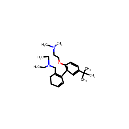 CCN(CC)CC1=C(c2cc(C(C)(C)C)ccc2OCCN(C)C)C=CC[CH]1